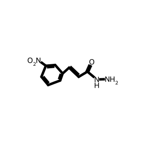 NNC(=O)C=Cc1cccc([N+](=O)[O-])c1